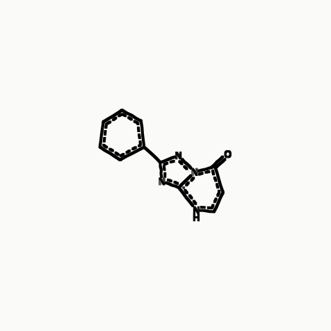 O=c1cc[nH]c2nc(-c3ccccc3)nn12